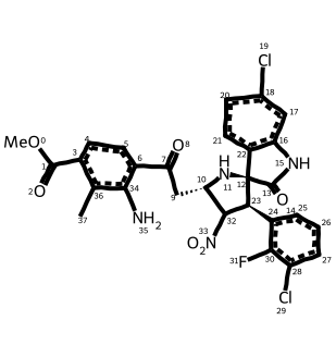 COC(=O)c1ccc(C(=O)C[C@@H]2N[C@@]3(C(=O)Nc4cc(Cl)ccc43)[C@@H](c3cccc(Cl)c3F)C2[N+](=O)[O-])c(N)c1C